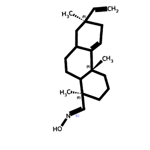 C=C[C@@]1(C)CC=C2C(CCC3[C@@]2(C)CCC[C@@]3(C)/C=N/O)C1